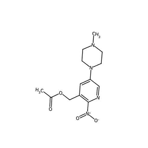 CC(=O)OCc1cc(N2CCN(C)CC2)cnc1[N+](=O)[O-]